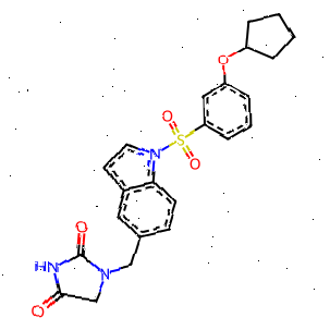 O=C1CN(Cc2ccc3c(ccn3S(=O)(=O)c3cccc(OC4CCCC4)c3)c2)C(=O)N1